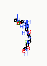 O=C1CCC(c2ccc(N3CCC(CN4CC5(CC(NC(=O)c6ccc(Nc7ncc(F)c(Nc8ccc(C(=O)Nc9ccccc9Cl)cc8)n7)cc6)C5)C4)CC3)c(F)c2)C(=O)N1